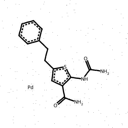 NC(=O)Nc1sc(CCc2ccccc2)cc1C(N)=O.[Pd]